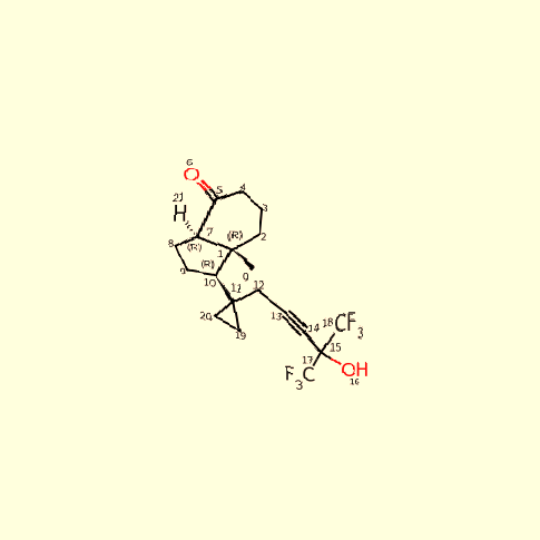 C[C@]12CCCC(=O)[C@@H]1CC[C@@H]2C1(CC#CC(O)(C(F)(F)F)C(F)(F)F)CC1